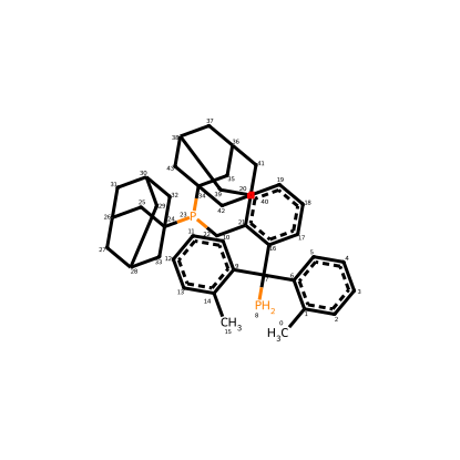 Cc1ccccc1C(P)(c1ccccc1C)c1ccccc1CP(C12CC3CC(CC(C3)C1)C2)C12CC3CC(CC(C3)C1)C2